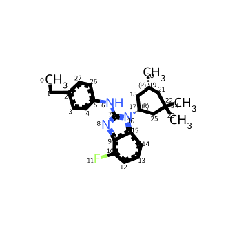 CCc1ccc(Nc2nc3c(F)cccc3n2[C@@H]2C[C@H](C)CC(C)(C)C2)cc1